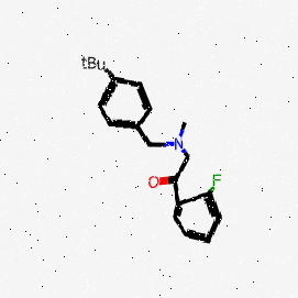 CN(CC(=O)c1ccccc1F)Cc1ccc(C(C)(C)C)cc1